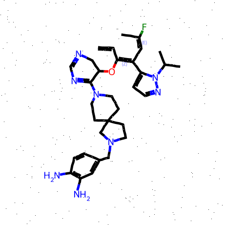 C=C/C(OC1CN=CN=C1N1CCC2(CCN(Cc3ccc(N)c(N)c3)C2)CC1)=C(\C=C(/C)F)c1ccnn1C(C)C